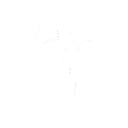 C=CCCCCC(c1ccccc1)S(C)(=O)=O